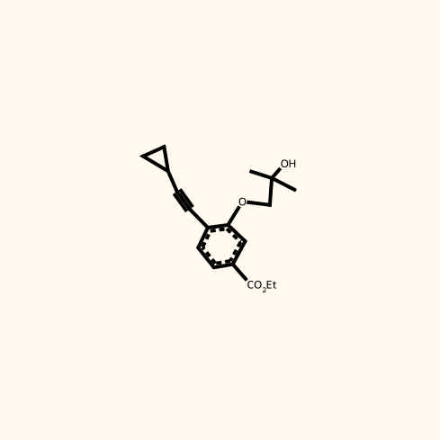 CCOC(=O)c1ccc(C#CC2CC2)c(OCC(C)(C)O)c1